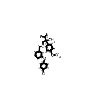 CC(COCc1cccc(Oc2ccc(Cl)cc2)c1)(c1ccc(OC(F)(F)F)cc1)C(F)F